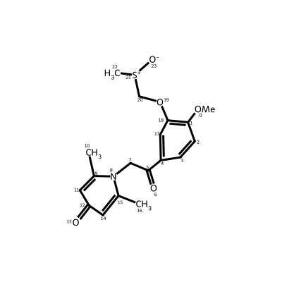 COc1ccc(C(=O)Cn2c(C)cc(=O)cc2C)cc1OC[S+](C)[O-]